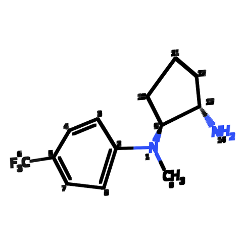 CN(c1ccc(C(F)(F)F)cc1)[C@H]1CCC[C@@H]1N